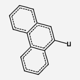 [Li][c]1cc2ccccc2c2ccccc12